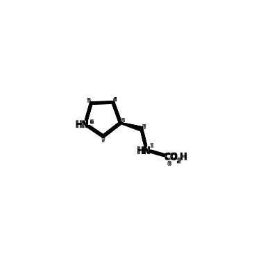 O=C(O)NC[C@@H]1CCNC1